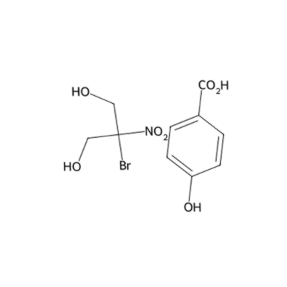 O=C(O)c1ccc(O)cc1.O=[N+]([O-])C(Br)(CO)CO